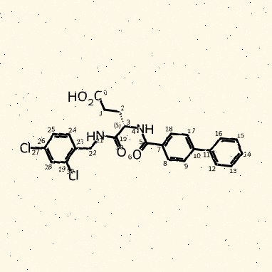 O=C(O)CC[C@H](NC(=O)c1ccc(-c2ccccc2)cc1)C(=O)NCc1ccc(Cl)cc1Cl